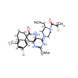 C=C(F)C(=O)N1CCN(c2nc(OC)nc3c2NC(=O)C2(CCCc4c(Cl)cc(F)cc42)C3)CC1CC#N